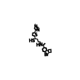 C=C(NCCCC(S)c1ccc(-c2cn(C)cn2)s1)c1ccc(Br)c(Cl)c1